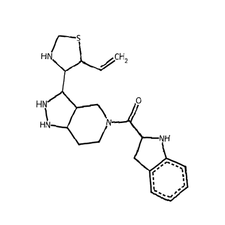 C=CC1SCNC1C1NNC2CCN(C(=O)C3Cc4ccccc4N3)CC21